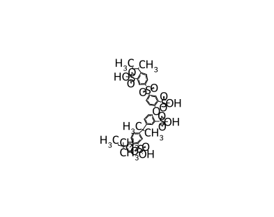 CCC(C)c1ccc(S(=O)(=O)c2ccc(Oc3ccc(C(C)(C)c4ccc(OC(C)(C)CC)c(S(=O)(=O)O)c4)cc3S(=O)(=O)O)c(S(=O)(=O)O)c2)cc1S(=O)(=O)O